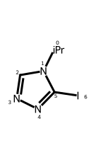 CC(C)n1cnnc1I